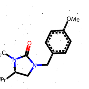 COc1ccc(CN2CC(C(C)C)N(C)C2=O)cc1